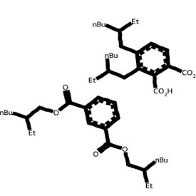 CCCCC(CC)COC(=O)c1cccc(C(=O)OCC(CC)CCCC)c1.CCCCC(CC)Cc1ccc(C(=O)O)c(C(=O)O)c1CC(CC)CCCC